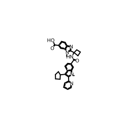 Cn1c(C2(NC(=O)c3ccc4c(C5CCCC5)c(-c5ccccn5)n(C)c4c3)CCC2)nc2ccc(C(=O)O)cc21